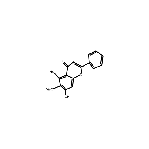 COc1c(O)cc2oc(-c3ccccc3)cc(=O)c2c1O